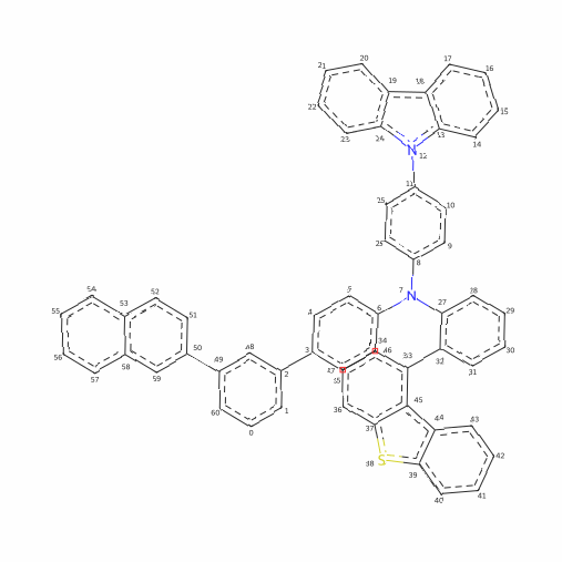 c1cc(-c2ccc(N(c3ccc(-n4c5ccccc5c5ccccc54)cc3)c3ccccc3-c3cccc4sc5ccccc5c34)cc2)cc(-c2ccc3ccccc3c2)c1